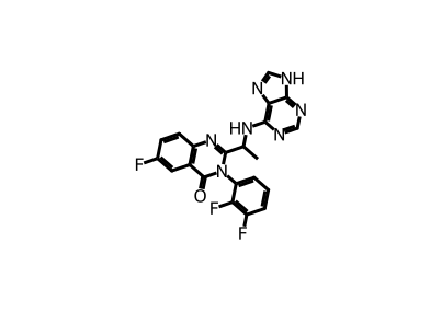 CC(Nc1ncnc2[nH]cnc12)c1nc2ccc(F)cc2c(=O)n1-c1cccc(F)c1F